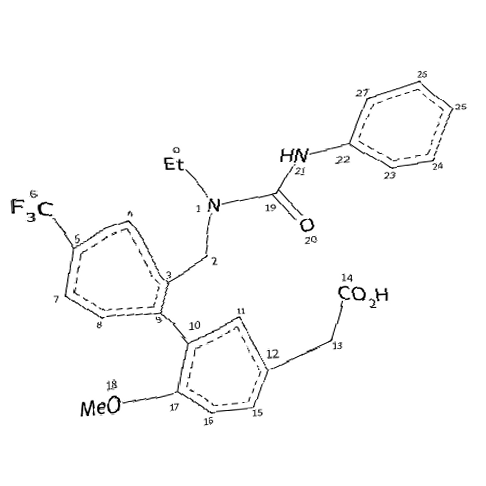 CCN(Cc1cc(C(F)(F)F)ccc1-c1cc(CC(=O)O)ccc1OC)C(=O)Nc1ccccc1